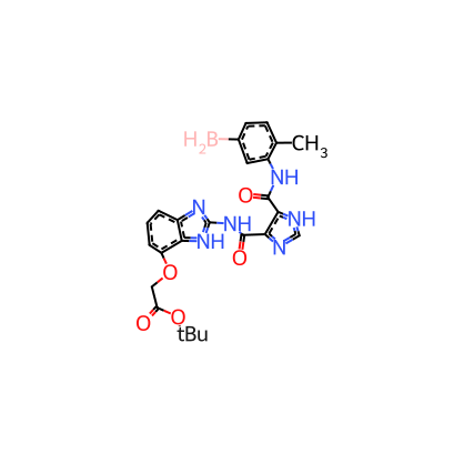 Bc1ccc(C)c(NC(=O)c2[nH]cnc2C(=O)Nc2nc3cccc(OCC(=O)OC(C)(C)C)c3[nH]2)c1